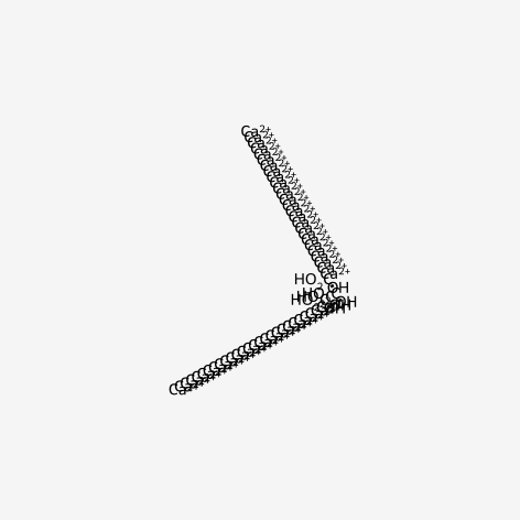 O=C(O)O.O=C(O)O.O=C(O)O.O=C(O)O.[Ca+2].[Ca+2].[Ca+2].[Ca+2].[Ca+2].[Ca+2].[Ca+2].[Ca+2].[Ca+2].[Ca+2].[Ca+2].[Ca+2].[Ca+2].[Ca+2].[Ca+2].[Ca+2].[Ca+2].[Ca+2].[Ca+2].[Ca+2].[Ca+2].[Ca+2].[Ca+2].[Ca+2].[Ca+2].[Ca+2].[Ca+2].[Ca+2].[Ca+2].[Ca+2].[Ca+2].[Ca+2].[Ca+2].[Ca+2].[Ca+2].[Ca+2].[Ca+2].[Ca+2].[Ca+2].[Ca+2].[Ca+2].[Ca+2].[Ca+2].[Ca+2].[Ca+2].[Ca+2].[Ca+2].[Ca+2].[Ca+2].[Ca+2].[Ca+2].[Ca+2].[Ca+2]